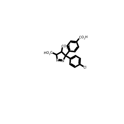 O=C(O)c1ccc(C2(c3ccc(Cl)cc3)N=NC(C(=O)O)C2C(=O)O)cc1